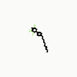 CCCCCCCCCCc1ccc(-c2cc(F)c(C)c(F)c2F)cc1